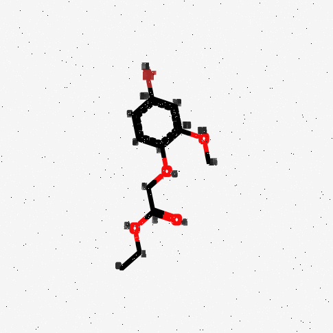 CCOC(=O)COc1ccc(Br)cc1OC